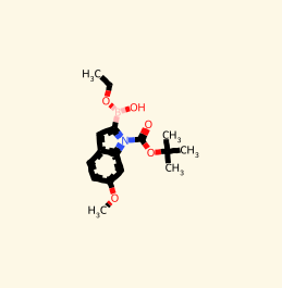 CCOB(O)c1cc2ccc(OC)cc2n1C(=O)OC(C)(C)C